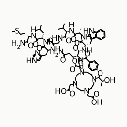 CSCC[C@H](NC(=O)[C@H](CC(C)C)NC(=O)[C@H](Cc1c[nH]cn1)NC(=O)CNC(=O)[C@@H](NC(=O)[C@H](C)NC(=O)[C@H](Cc1c[nH]c2ccccc12)NC(=O)[C@H](CCC(N)=O)NC(=O)c1ccc(OC(C(C)O)N2CCN(CC(=O)O)CCN(CC(=O)O)CCN(CC(=O)O)CC2)cc1)C(C)C)C(N)=O